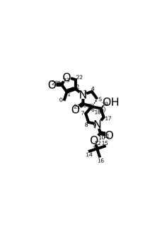 CC1=C(N2CC[C@]3(CCN(C(=O)OC(C)(C)C)C[C@H]3O)C2=O)COC1=O